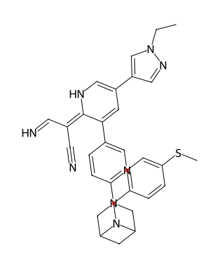 CCn1cc(C2=CN/C(=C(/C#N)C=N)C(c3ccc(N4CC5CC(C4)N5Cc4ccc(SC)cc4)nc3)=C2)cn1